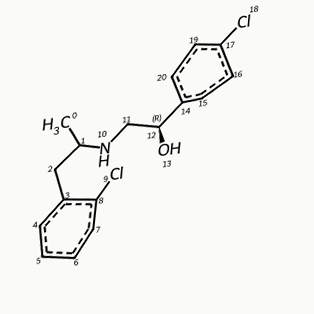 CC(Cc1ccccc1Cl)NC[C@H](O)c1ccc(Cl)cc1